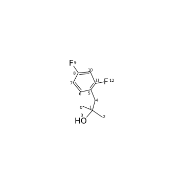 CC(C)(O)Cc1ccc(F)cc1F